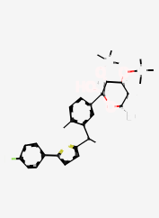 CC[C@H]1O[C@@](O)(c2ccc(C)c(C(C)c3ccc(-c4ccc(F)cc4)s3)c2)[C@H](O[Si](C)(C)C)[C@@H](O[Si](C)(C)C)[C@@H]1C